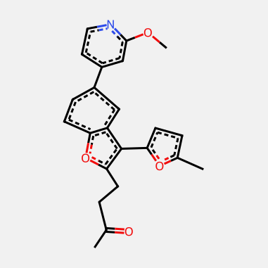 COc1cc(-c2ccc3oc(CCC(C)=O)c(-c4ccc(C)o4)c3c2)ccn1